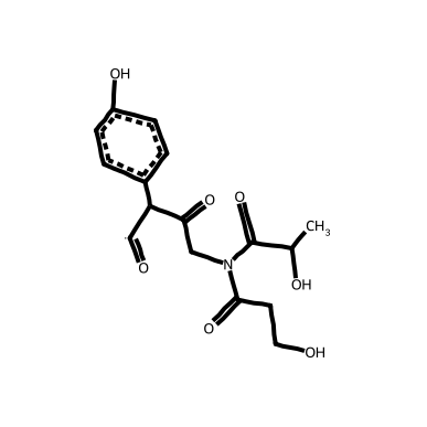 CC(O)C(=O)N(CC(=O)C([C]=O)c1ccc(O)cc1)C(=O)CCO